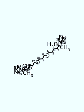 CC(C)(CCCCOCCCOCCCCC(C)(C)n1cnnn1)n1cnnn1